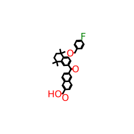 CC1(C)CCC(C)(C)c2c(OCc3ccc(F)cc3)cc(C(=O)c3ccc4cc(C(=O)O)ccc4c3)cc21